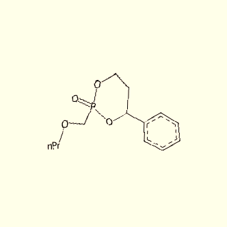 CCCOCP1(=O)OCCC(c2ccccc2)O1